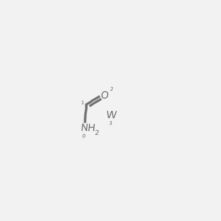 NC=O.[W]